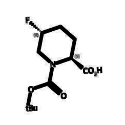 CC(C)(C)OC(=O)N1C[C@H](F)CC[C@H]1C(=O)O